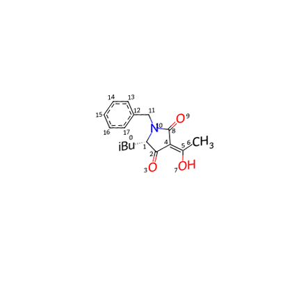 CCC(C)[C@H]1C(=O)/C(=C(/C)O)C(=O)N1Cc1ccccc1